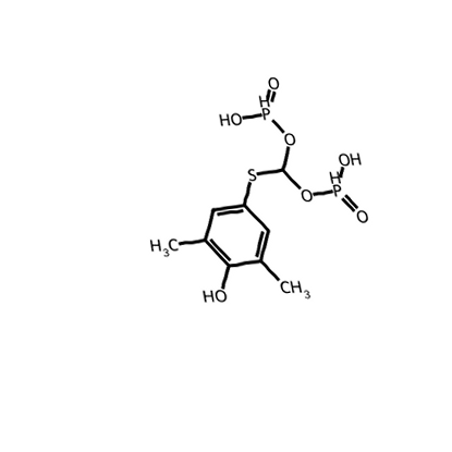 Cc1cc(SC(O[PH](=O)O)O[PH](=O)O)cc(C)c1O